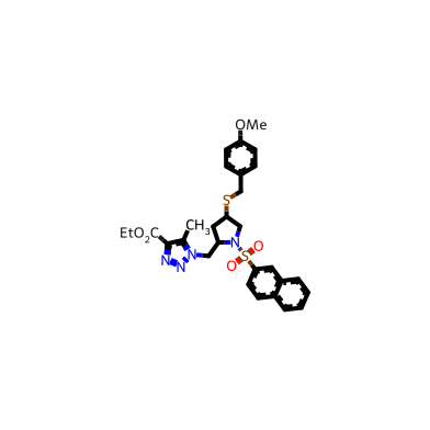 CCOC(=O)c1nnn(CC2CC(SCc3ccc(OC)cc3)CN2S(=O)(=O)c2ccc3ccccc3c2)c1C